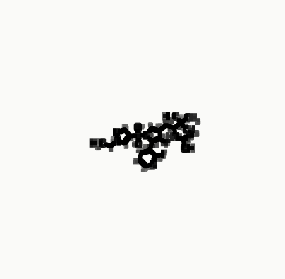 CCn1cc(S(=O)(=O)n2cc(CC(NC(=O)O)C(C)(C)C)c(F)c2-c2cccnc2F)cn1